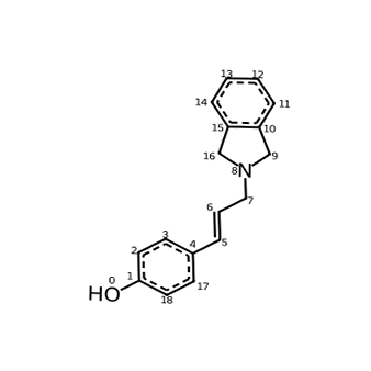 Oc1ccc(/C=C/CN2Cc3ccccc3C2)cc1